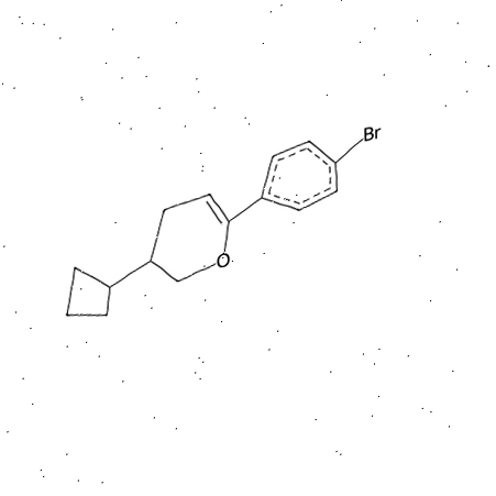 Brc1ccc(C2=CCC(C3CCC3)CO2)cc1